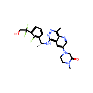 Cc1nnc(N[C@H](C)c2cccc(C(F)(F)CO)c2F)c2cc(N3CCN(C)C(=O)C3)cnc12